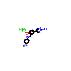 CNC1CCC(NCc2cc(-c3cnc(N)nc3)ccc2OC)CC1.Cl.Cl